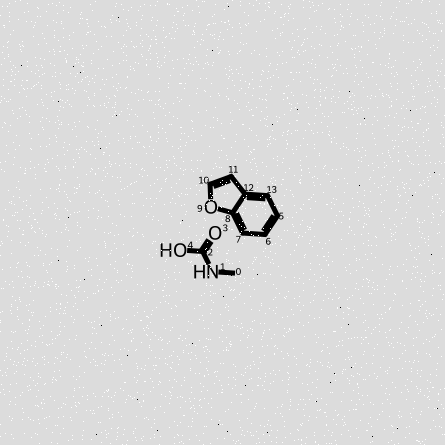 CNC(=O)O.c1ccc2occc2c1